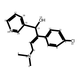 CN(C)C/C=C(\c1ccc(Cl)cc1)C(O)c1cccnc1